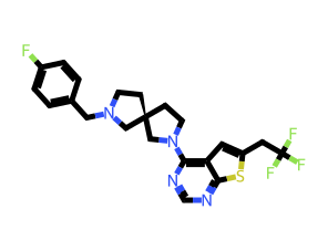 Fc1ccc(CN2CC[C@]3(CCN(c4ncnc5sc(CC(F)(F)F)cc45)C3)C2)cc1